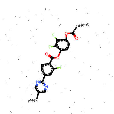 CCCCCCCC(=O)Oc1ccc(OC(=O)c2ccc(-c3ncc(CCCCCC)cn3)cc2F)c(F)c1F